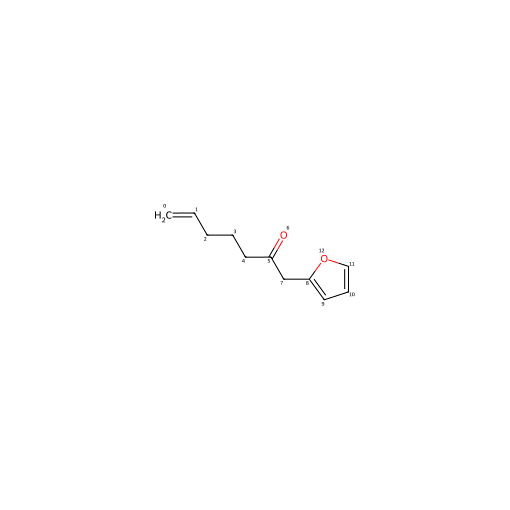 C=CCCCC(=O)Cc1ccco1